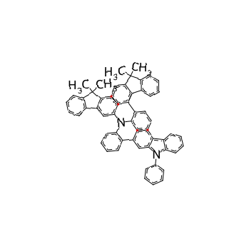 CC1(C)c2ccccc2-c2cc(N(c3ccccc3-c3ccc4c5ccccc5n(-c5ccccc5)c4c3)c3ccccc3-c3cccc4c3-c3ccccc3C4(C)C)ccc21